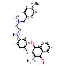 CCN(CCNc1ccc(CC2=C(C)C(=O)c3ccccc3C2=O)cc1)Cc1ccc(C(C)(C)C)cc1